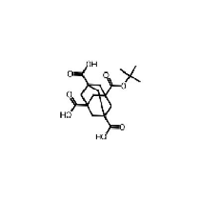 CC(C)(C)OC(=O)C12CC3(C(=O)O)CC(C(=O)O)(CC(C(=O)O)(C3)C1)C2